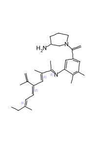 C=C(C)C(=C\C=C(/C)CC)/C=C(C)/C(C)=N/c1cc(C(=C)N2CCCC(N)C2)cc(C)c1C